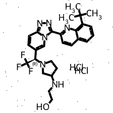 CC(C)(C)c1cccc2ccc(-c3nnc4ccc([C@@H](N5CCC(NCCO)C5)C(F)(F)F)cn34)nc12.Cl.Cl